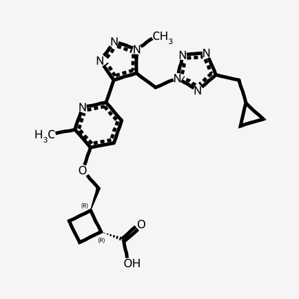 Cc1nc(-c2nnn(C)c2Cn2nnc(CC3CC3)n2)ccc1OC[C@@H]1CC[C@H]1C(=O)O